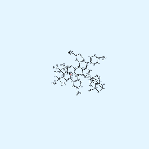 Cc1ccc2c(c1)B1c3cc(C(C)(C)C)ccc3N(c3ccc(C(C)(C)C)cc3-c3ccc4c(c3)C(C)(C)CCC4(C)C)c3cc([C@]45CC6C7CC8C[C@@H]6C(C4)[C@@H](C8)C7C5)cc(c31)N2c1ccc(C(C)(C)C)cc1